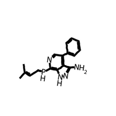 CC(C)=CCPc1ncc(-c2ccccc2)c2c(N)n[nH]c12